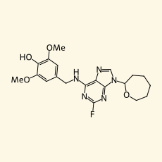 COc1cc(CNc2nc(F)nc3c2ncn3C2CCCCCO2)cc(OC)c1O